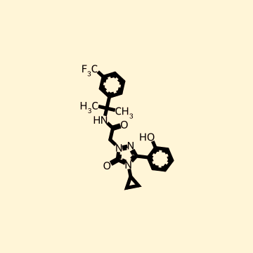 CC(C)(NC(=O)Cn1nc(-c2ccccc2O)n(C2CC2)c1=O)c1cccc(C(F)(F)F)c1